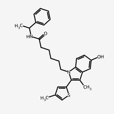 Cc1csc(-c2c(C)c3cc(O)ccc3n2CCCCCC(=O)NC(C)c2ccccc2)c1